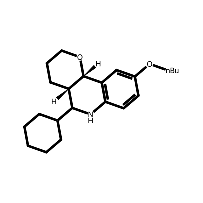 CCCCOc1ccc2c(c1)[C@H]1OCCC[C@H]1C(C1CCCCC1)N2